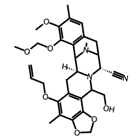 C=CCOc1c(C)c2c(c3c1C[C@H]1C4c5c(cc(C)c(OC)c5OCOC)CC([C@H](C#N)N1C3CO)N4C)OCO2